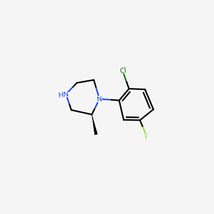 C[C@H]1CNCCN1c1cc(F)ccc1Cl